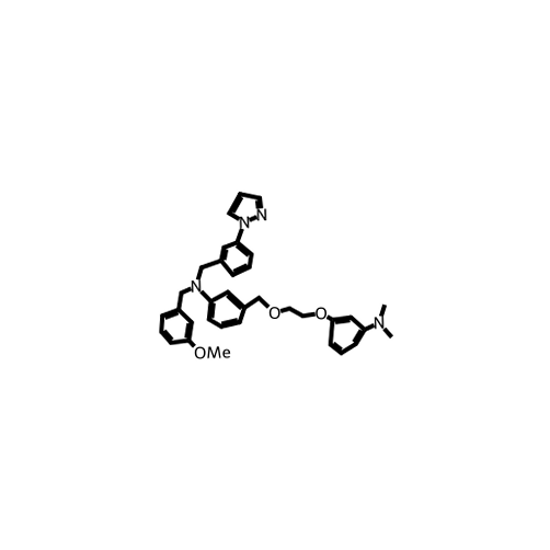 COc1cccc(CN(Cc2cccc(-n3cccn3)c2)c2cccc(COCCOc3cccc(N(C)C)c3)c2)c1